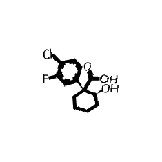 O=C(O)[C@@]1(c2ccc(Cl)c(F)c2)CCCC[C@H]1O